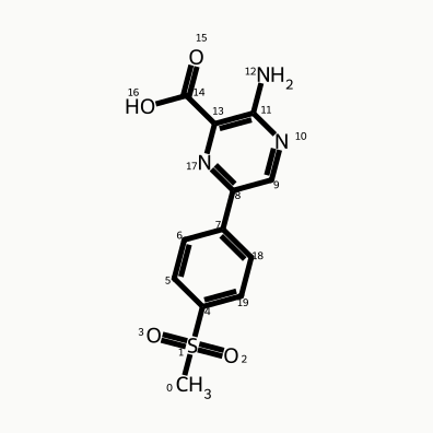 CS(=O)(=O)c1ccc(-c2cnc(N)c(C(=O)O)n2)cc1